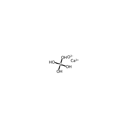 O[Si](O)(O)O.[Ca+2].[O-2]